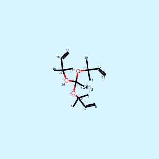 C=CC(C)(C)OC([SiH3])(OC(C)(C)C=C)OC(C)(C)C=C